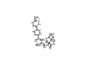 CC[C@H](C)[C@H](NC(=O)c1ccc(N2CCN(C)CC2)cc1)C(=O)N1C[C@H](O)[C@H]2OCC(=O)[C@H]21